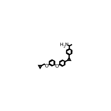 CC(N)c1ccc(C2CC2c2ccc(Oc3cccc(OCC4CC4)c3)cc2)cc1